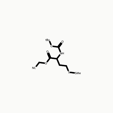 CSSCCC(NC(=O)OC(C)(C)C)C(=O)OCC#N